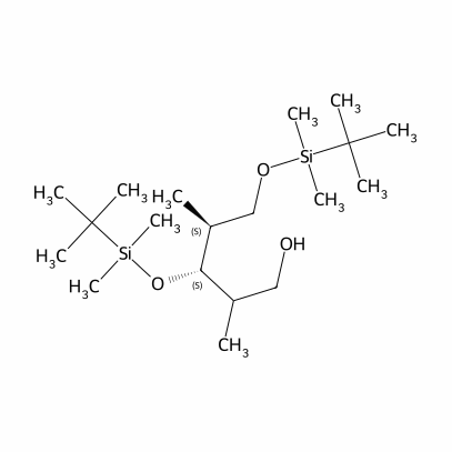 CC(CO)[C@H](O[Si](C)(C)C(C)(C)C)[C@@H](C)CO[Si](C)(C)C(C)(C)C